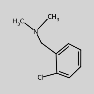 CN(C)Cc1ccccc1Cl